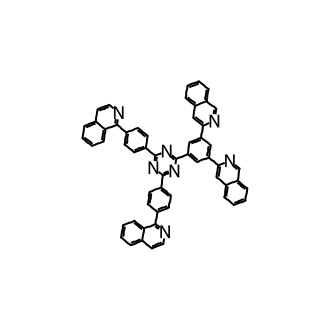 c1ccc2cc(-c3cc(-c4cc5ccccc5cn4)cc(-c4nc(-c5ccc(-c6nccc7ccccc67)cc5)nc(-c5ccc(-c6nccc7ccccc67)cc5)n4)c3)ncc2c1